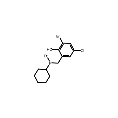 CCN(Cc1cc(Cl)cc(Br)c1O)C1CCCCC1